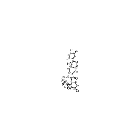 Cc1cc(F)c(F)cc1C(=O)Nc1ccc(C(=O)N2CCC(F)(F)[C@](C)(O)c3cc(Cl)ccc32)cc1F